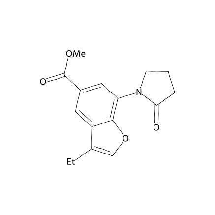 CCc1coc2c(N3CCCC3=O)cc(C(=O)OC)cc12